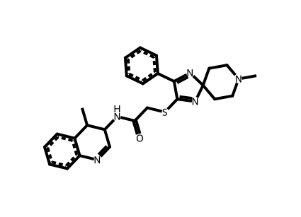 CC1c2ccccc2N=CC1NC(=O)CSC1=NC2(CCN(C)CC2)N=C1c1ccccc1